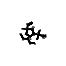 C=C[C@]1(C)CC[C@H](C(C)(C)O)O1.CCOCC